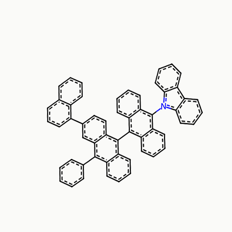 c1ccc(-c2c3ccccc3c(-c3c4ccccc4c(-n4c5ccccc5c5ccccc54)c4ccccc34)c3ccc(-c4cccc5ccccc45)cc23)cc1